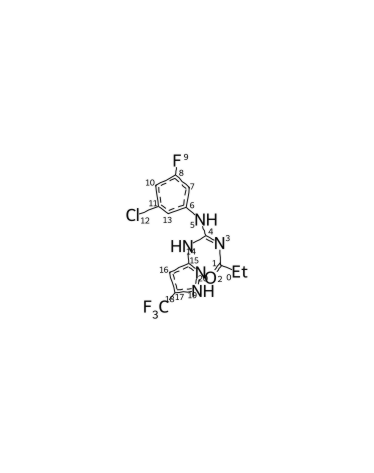 CCC(=O)/N=C(/Nc1cc(F)cc(Cl)c1)Nc1cc(C(F)(F)F)[nH]n1